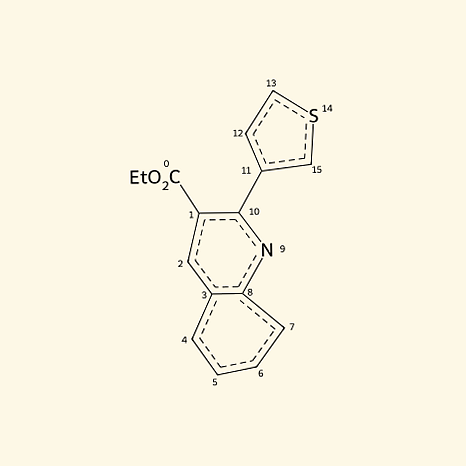 CCOC(=O)c1cc2ccccc2nc1-c1ccsc1